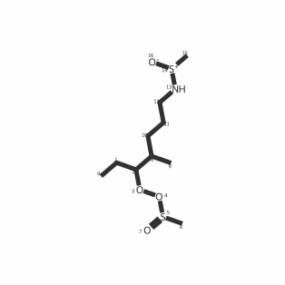 CCC(OOS(C)=O)C(C)CCCN[S+](C)[O-]